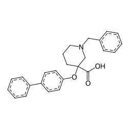 O=C(O)C1(Oc2ccc(-c3ccccc3)cc2)CCCN(Cc2ccccc2)C1